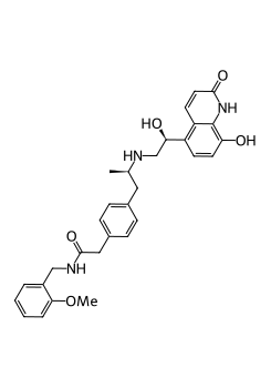 COc1ccccc1CNC(=O)Cc1ccc(C[C@@H](C)NC[C@@H](O)c2ccc(O)c3[nH]c(=O)ccc23)cc1